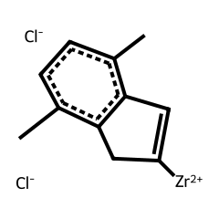 Cc1ccc(C)c2c1C=[C]([Zr+2])C2.[Cl-].[Cl-]